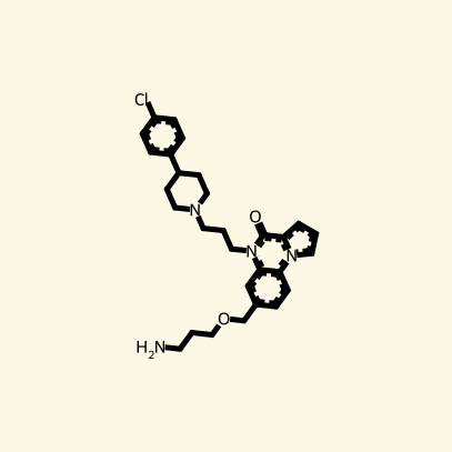 NCCCOCc1ccc2c(c1)n(CCCN1CCC(c3ccc(Cl)cc3)CC1)c(=O)c1cccn12